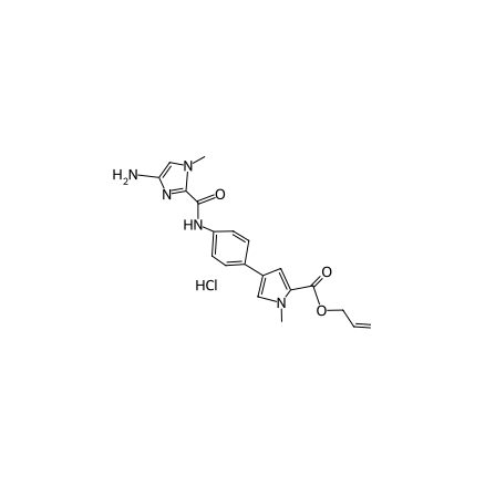 C=CCOC(=O)c1cc(-c2ccc(NC(=O)c3nc(N)cn3C)cc2)cn1C.Cl